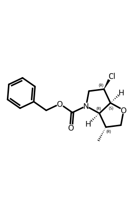 C[C@H]1CO[C@H]2[C@@H]1N(C(=O)OCc1ccccc1)C[C@H]2Cl